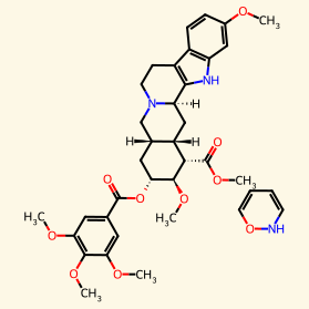 C1=CNOC=C1.COC(=O)[C@H]1[C@H]2C[C@@H]3c4[nH]c5cc(OC)ccc5c4CCN3C[C@H]2C[C@@H](OC(=O)c2cc(OC)c(OC)c(OC)c2)[C@@H]1OC